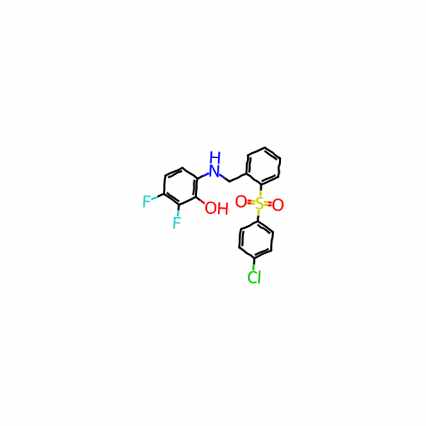 O=S(=O)(c1ccc(Cl)cc1)c1ccccc1CNc1ccc(F)c(F)c1O